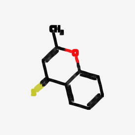 Cc1cc(=S)c2ccccc2o1